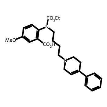 CCOC(=O)N(CCCCN1CC=C(c2ccccc2)CC1)c1ccc(OC)cc1C(=O)O